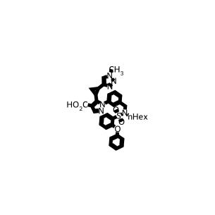 CCCCCCN(Cc1cccc(-n2ncc(C(=O)O)c2C2CC2c2cn(C)nn2)c1)S(=O)(=O)c1ccccc1Oc1ccccc1